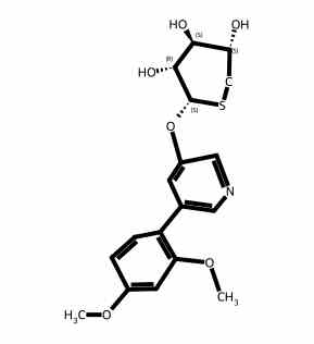 COc1ccc(-c2cncc(O[C@H]3SC[C@@H](O)[C@H](O)[C@H]3O)c2)c(OC)c1